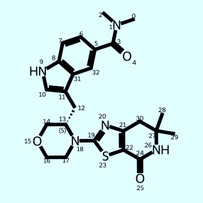 CN(C)C(=O)c1ccc2[nH]cc(C[C@H]3COCCN3c3nc4c(s3)C(=O)NC(C)(C)C4)c2c1